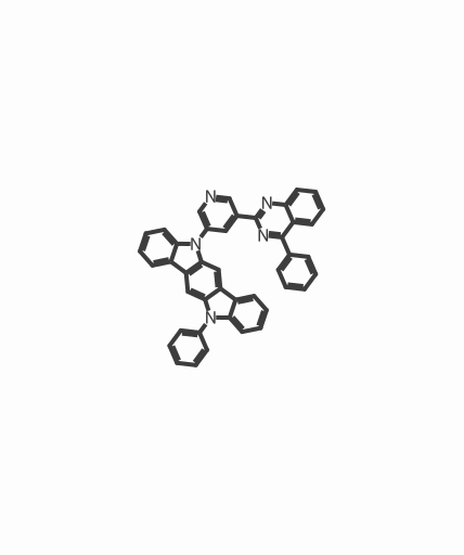 c1ccc(-c2nc(-c3cncc(-n4c5ccccc5c5cc6c(cc54)c4ccccc4n6-c4ccccc4)c3)nc3ccccc23)cc1